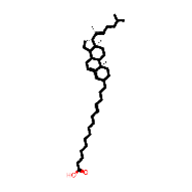 CC(C)CCC[C@@H](C)[C@H]1CCC2C3CC=C4CC(CCCCCCCCCCCCCCC(=O)O)CC[C@]4(C)C3CC[C@@]21C